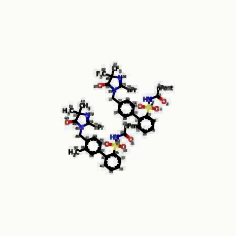 CCCCCC(=O)NS(=O)(=O)c1ccccc1-c1ccc(CN2C(=O)C(C(F)(F)F)(C(F)(F)F)N=C2CCC)cc1.CCCCCC(=O)NS(=O)(=O)c1ccccc1-c1ccc(CN2C(=O)C(C)(C)N=C2CCC)c(C)c1